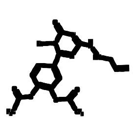 C=CCNNc1nc(-c2ccc(OC(=O)C(F)(F)F)c(OC(=O)C(F)(F)F)c2)n(CC)c(=O)n1